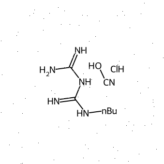 CCCCNC(=N)NC(=N)N.Cl.N#CO